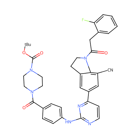 CC(C)(C)OC(=O)N1CCN(C(=O)c2ccc(Nc3nccc(-c4cc(C#N)c5c(c4)CCN5C(=O)Cc4ccccc4F)n3)cc2)CC1